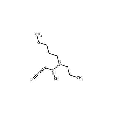 CCC[SH](CCCOC)[SiH](S)N=C=O